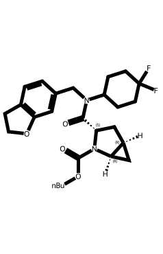 CCCCOC(=O)N1[C@@H]2C[C@@H]2C[C@H]1C(=O)N(Cc1ccc2c(c1)OCC2)C1CCC(F)(F)CC1